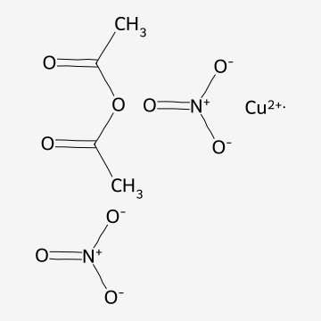 CC(=O)OC(C)=O.O=[N+]([O-])[O-].O=[N+]([O-])[O-].[Cu+2]